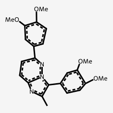 COc1ccc(-c2ccc3nc(C)c(-c4ccc(OC)c(OC)c4)n3n2)cc1OC